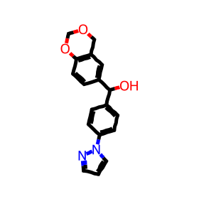 OC(c1ccc(-n2cccn2)cc1)c1ccc2c(c1)COCO2